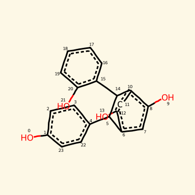 Oc1ccc(C2c3cc(O)c(cc3O)C2c2ccccc2O)cc1